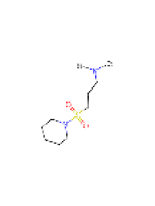 CCN(CC)CCCS(=O)(=O)N1CC[CH]CC1